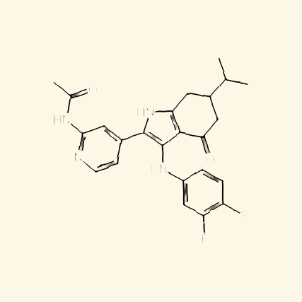 CC(=O)Nc1cc(-c2[nH]c3c(c2Nc2ccc(F)c(F)c2)C(=O)CC(C(C)C)C3)ccn1